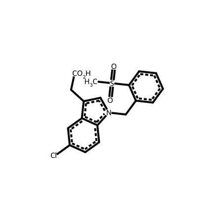 CS(=O)(=O)c1ccccc1Cn1cc(CC(=O)O)c2cc(Cl)ccc21